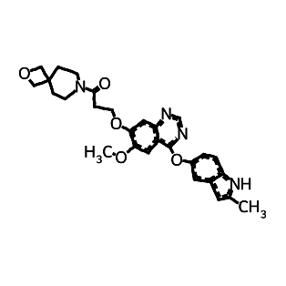 COc1cc2c(Oc3ccc4[nH]c(C)cc4c3)ncnc2cc1OCCC(=O)N1CCC2(CC1)COC2